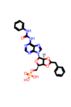 O=C(Nc1ccccc1)Nc1ncnc2c1ncn2[C@@H]1O[C@H](COP(=O)(O)O)C2OC(Cc3ccccc3)O[C@@H]21